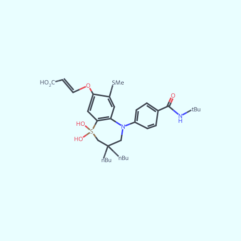 CCCCC1(CCCC)CN(c2ccc(C(=O)NC(C)(C)C)cc2)c2cc(SC)c(OC=CC(=O)O)cc2S(O)(O)C1